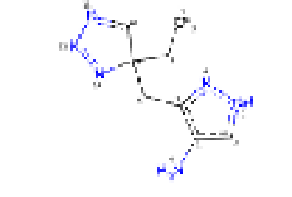 Nc1c[nH]nc1CC1(CC(F)(F)F)C=NN=N1